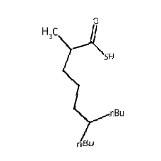 CCCCC(CCCC)CCCC(C)C(=O)S